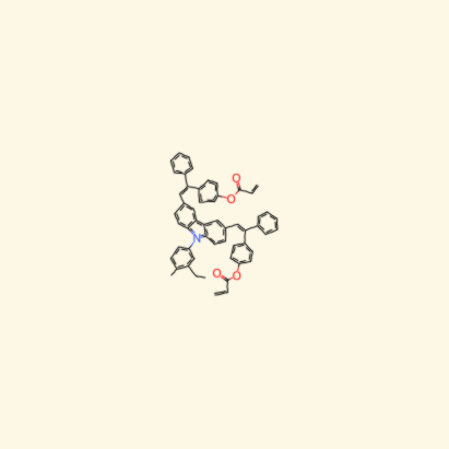 C=CC(=O)Oc1ccc(C(=Cc2ccc3c(c2)c2cc(C=C(c4ccccc4)c4ccc(OC(=O)C=C)cc4)ccc2n3-c2ccc(C)c(CC)c2)c2ccccc2)cc1